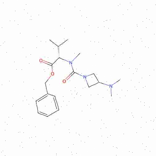 CC(C)[C@@H](C(=O)OCc1ccccc1)N(C)C(=O)N1CC(N(C)C)C1